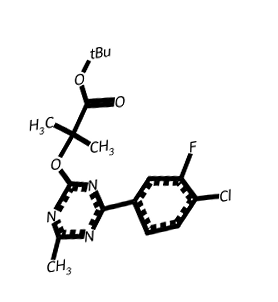 Cc1nc(OC(C)(C)C(=O)OC(C)(C)C)nc(-c2ccc(Cl)c(F)c2)n1